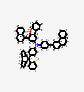 c1ccc2c(c1)Sc1cc(N(c3ccc(-c4ccc5ccc6ccccc6c5c4)cc3)c3cc(-c4cccc5ccccc45)c4oc5ccccc5c4c3)ccc1C21c2ccccc2-c2ccccc21